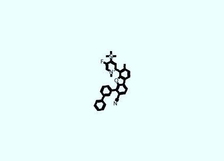 Cc1ccc2c(oc3c(-c4cccc(-c5ccccc5)c4)c(C#N)ccc32)c1-c1cc([Si](C)(C)C)c(F)c[n+]1C